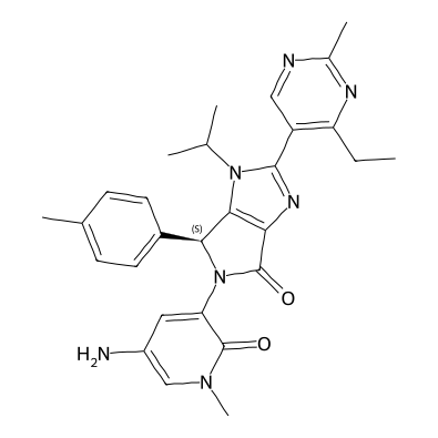 CCc1nc(C)ncc1-c1nc2c(n1C(C)C)[C@H](c1ccc(C)cc1)N(c1cc(N)cn(C)c1=O)C2=O